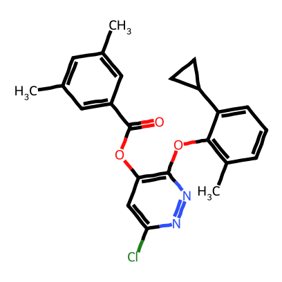 Cc1cc(C)cc(C(=O)Oc2cc(Cl)nnc2Oc2c(C)cccc2C2CC2)c1